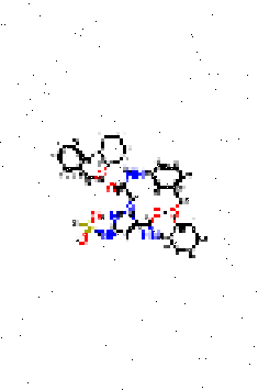 CS(=O)(=O)Nc1cc(C(=O)N[C@H]2CCCC[C@@H]2OCc2ccccc2)n(CC(=O)N[C@H]2CCCC[C@@H]2OCc2ccccc2)n1